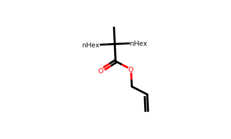 C=CCOC(=O)C(C)(CCCCCC)CCCCCC